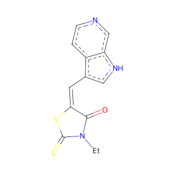 CCN1C(=O)C(=Cc2c[nH]c3cnccc23)SC1=S